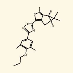 [CH2]CCOc1c(C)cc(-c2noc(-c3sc(C)c4c3C[C@@H]3[C@H]4C3(C)C)n2)cc1C